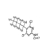 [2H]C([2H])([2H])C([2H])([2H])C([2H])([2H])C([2H])([2H])c1c(Cl)nc(NC=O)nc1Cl